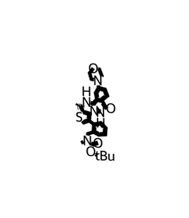 C[C@@H](Nc1n[nH]c(=O)c2ccc(N3CCOCC3)cc12)c1cc(-c2ccccc2CN(C)C(=O)OC(C)(C)C)cs1